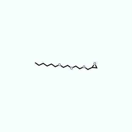 CCCCCCOCCOCCOCC1CO1